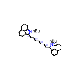 CCCCn1c2c3c(cccc3/c1=C/C=C/C=C/C=C/C1=[N+](CCCC)C3=CCCc4cccc1c43)CCC=2